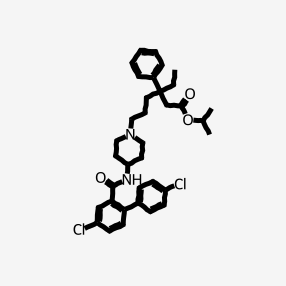 CCC(CCCN1CCC(NC(=O)c2cc(Cl)ccc2-c2ccc(Cl)cc2)CC1)(CC(=O)OC(C)C)c1ccccc1